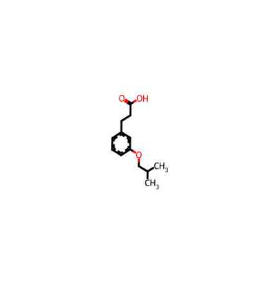 CC(C)COc1cccc(CCC(=O)O)c1